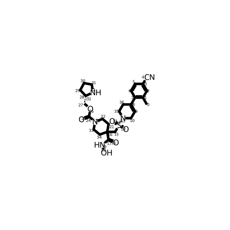 Cc1cc(C#N)ccc1C1=CCN(S(=O)(=O)CC2(C(=O)NO)CCN(C(=O)OC[C@@H]3CCCN3)CC2)CC1